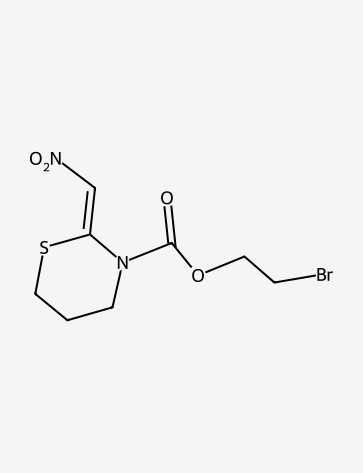 O=C(OCCBr)N1CCCS/C1=C\[N+](=O)[O-]